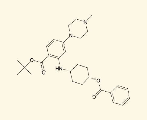 CN1CCN(c2ccc(C(=O)OC(C)(C)C)c(N[C@H]3CC[C@@H](OC(=O)c4ccccc4)CC3)c2)CC1